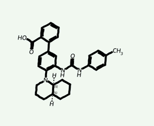 Cc1ccc(NC(=O)Nc2cc(-c3ccccc3C(=O)O)ccc2N2CCC[C@@H]3CCCC[C@@H]32)cc1